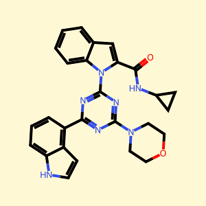 O=C(NC1CC1)c1cc2ccccc2n1-c1nc(-c2cccc3[nH]ccc23)nc(N2CCOCC2)n1